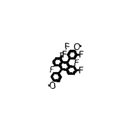 COc1ccc(-c2c3ccc(F)cc3c(-c3c(F)c(F)c(OC)c(F)c3F)c3c(F)ccc(F)c23)cc1